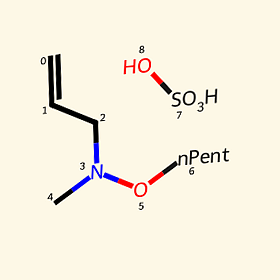 C=CCN(C)OCCCCC.O=S(=O)(O)O